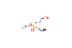 CCCOS(=O)(=O)CCCO.[NaH]